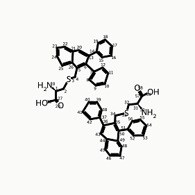 N[C@@H](CSCc1c(-c2ccccc2)c(-c2ccccc2)cc2ccccc12)C(=O)O.N[C@@H](CSCc1c(-c2ccccc2)cc2ccccc2c1-c1ccccc1)C(=O)O